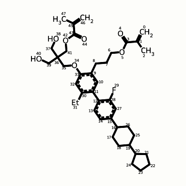 C=C(C)C(=O)OCCCc1cc(-c2ccc(C3CCC(C4CCCC4)CC3)cc2F)c(CC)cc1OCC(CO)(CO)COC(=O)C(=C)C